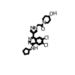 O=C(Cn1cc(-c2nnc(NC3CCCC3)c3cc(Cl)c(Cl)cc23)cn1)N1CCC(O)CC1